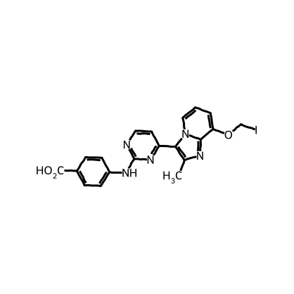 Cc1nc2c(OCI)cccn2c1-c1ccnc(Nc2ccc(C(=O)O)cc2)n1